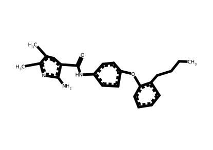 CCCCc1ccccc1Oc1ccc(NC(=O)c2cc(C)c(C)nc2N)cc1